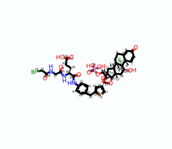 C[C@]12C=CC(=O)C=C1CC[C@H]1[C@@H]3C[C@H]4O[C@@H](c5csc(Cc6ccc(NC(=O)[C@H](CCC(=O)O)NC(=O)CNC(=O)CBr)cc6)c5)O[C@@]4(C(=O)COP(=O)(O)O)[C@@]3(C)C[C@H](O)[C@@]12F